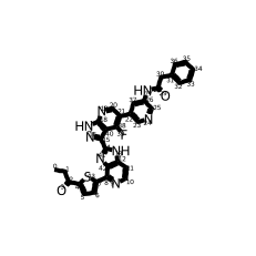 CCC(=O)c1ccc(-c2nccc3[nH]c(-c4n[nH]c5ncc(-c6cncc(NC(=O)Cc7ccccc7)c6)c(F)c45)nc23)s1